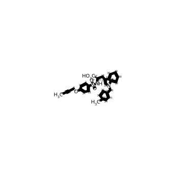 CC#CCOc1ccc(S(=O)(=O)N[C@H](Cc2cn(Cc3ccc(C)cc3)c3ccccc23)C(=O)O)cc1